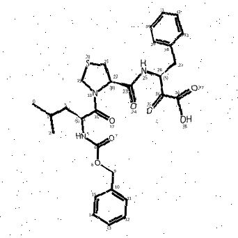 CC(C)C[C@H](NC(=O)OCc1ccccc1)C(=O)N1CSC[C@H]1C(=O)N[C@@H](Cc1ccccc1)C(=O)C(=O)O